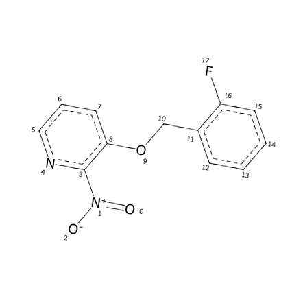 O=[N+]([O-])c1ncccc1OCc1ccccc1F